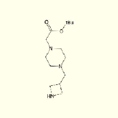 CC(C)(C)OC(=O)CN1CCN(CC2CNC2)CC1